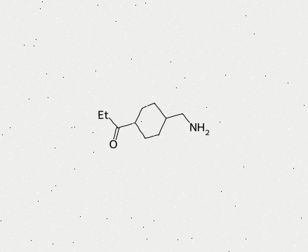 CCC(=O)C1CCC(CN)CC1